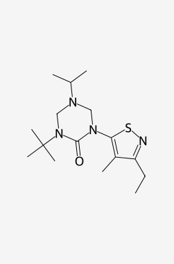 CCc1nsc(N2CN(C(C)C)CN(C(C)(C)C)C2=O)c1C